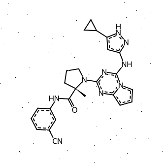 C[C@@]1(C(=O)Nc2cccc(C#N)c2)CCCN1c1nc(Nc2cc(C3CC3)[nH]n2)n2cccc2n1